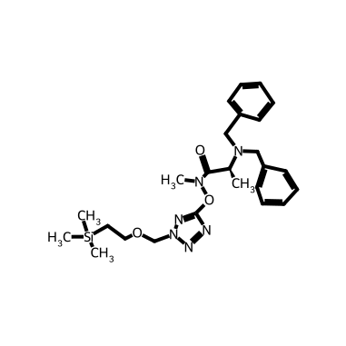 C[C@@H](C(=O)N(C)Oc1nnn(COCC[Si](C)(C)C)n1)N(Cc1ccccc1)Cc1ccccc1